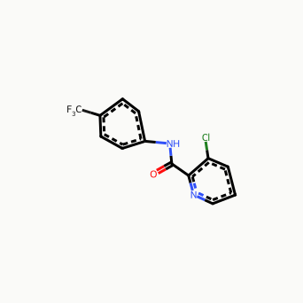 O=C(Nc1ccc(C(F)(F)F)cc1)c1ncccc1Cl